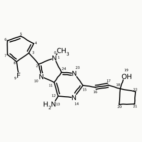 Cn1c(-c2ccccc2F)nc2c(N)nc(C#CC3(O)CCC3)nc21